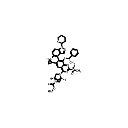 Cc1ccc2c(cnn2C2CCCCO2)c1-c1c(C2CC2)cc2c(N3C[C@@H]4C[C@H]3CN4C(=O)OC(C)(C)C)nc(S(C)(=O)=O)nc2c1O[C@@H](C)c1ccccc1